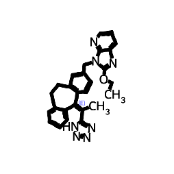 CCOc1nc2cccnc2n1Cc1ccc2c(c1)CCc1ccccc1/C2=C(/C)c1nnn[nH]1